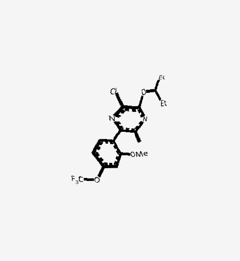 CCC(CC)Oc1nc(C)c(-c2ccc(OC(F)(F)F)cc2OC)nc1Cl